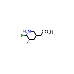 C[C@H](CF)CC(CN)CC(=O)O